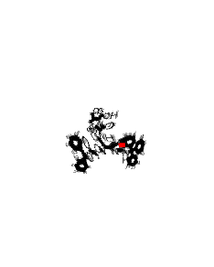 O=C(CO/N=C(\C(=O)NC1C(=O)N2C(C(=O)O)=C(CCl)C[S+]([O-])[C@H]12)c1csc(NC(c2ccccc2)(c2ccccc2)c2ccccc2)n1)OC(c1ccccc1)c1ccccc1